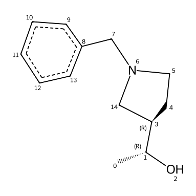 C[C@@H](O)[C@@H]1CCN(Cc2ccccc2)C1